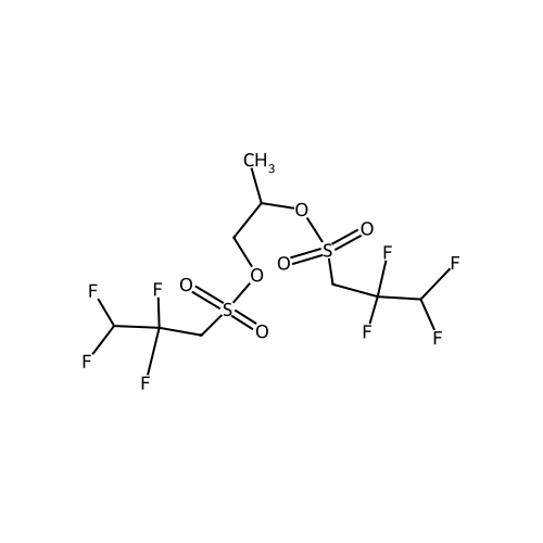 CC(COS(=O)(=O)CC(F)(F)C(F)F)OS(=O)(=O)CC(F)(F)C(F)F